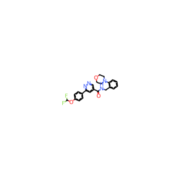 O=C(NCc1ccccc1N1CCOCC1)c1cnnc(-c2ccc(OC(F)F)cc2)c1